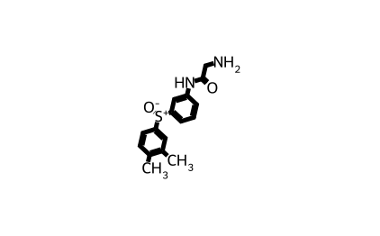 Cc1ccc([S+]([O-])c2cccc(NC(=O)CN)c2)cc1C